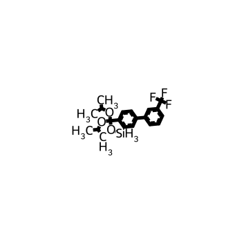 CC(C)OC(O[SiH3])(OC(C)C)c1ccc(-c2cccc(C(F)(F)F)c2)cc1